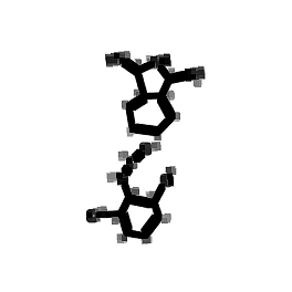 N=C1NC(=N)c2ccccc21.O=C=Nc1c(Cl)cccc1Cl